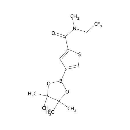 CN(CC(F)(F)F)C(=O)c1cc(B2OC(C)(C)C(C)(C)O2)cs1